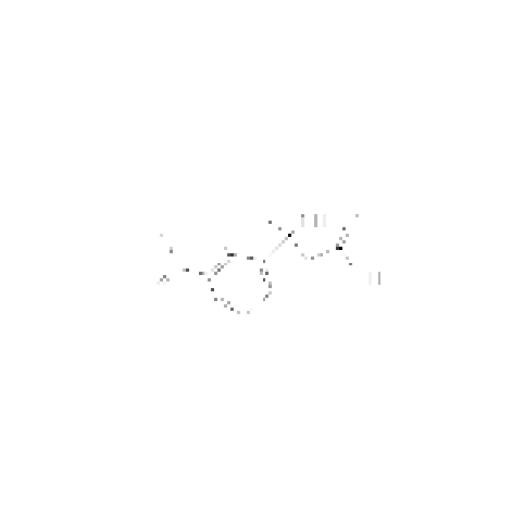 CC(N)(CC(=O)O)c1cccc([N+](=O)[O-])c1Cl